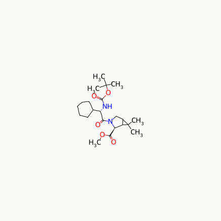 COC(=O)[C@@H]1C2C(CN1C(=O)[C@@H](NC(=O)OC(C)(C)C)C1CCCCC1)C2(C)C